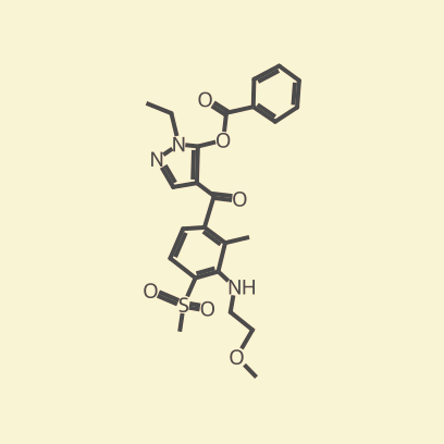 CCn1ncc(C(=O)c2ccc(S(C)(=O)=O)c(NCCOC)c2C)c1OC(=O)c1ccccc1